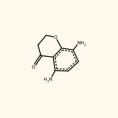 Nc1ccc(N)c2c1OCCC2=O